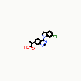 C=C(C(=O)O)c1ccc2c(N3CCc4ccc(Cl)cc43)ncnc2c1